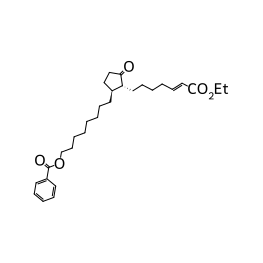 CCOC(=O)C=CCCCC[C@H]1C(=O)CC[C@@H]1CCCCCCCCOC(=O)c1ccccc1